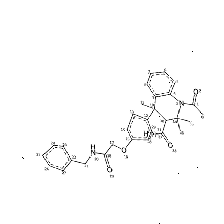 CC(=O)N1c2cc[c]cc2C(C)(c2ccc(OCC(=O)NCc3ccccc3)cc2)C(C(N)=O)C1(C)C